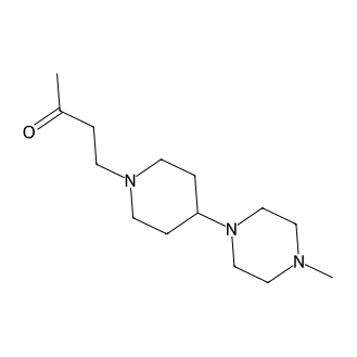 CC(=O)CCN1CCC(N2CCN(C)CC2)CC1